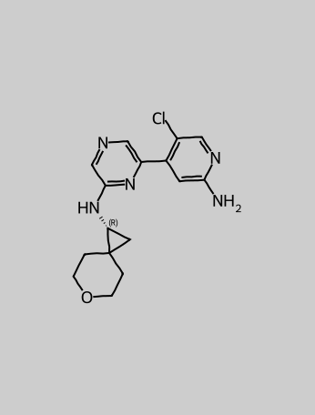 Nc1cc(-c2cncc(N[C@@H]3CC34CCOCC4)n2)c(Cl)cn1